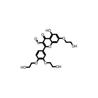 O=Nc1c(-c2ccc(OCCO)c(OCCO)c2)oc2cc(OCCO)cc(O)c2c1=O